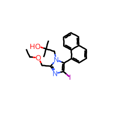 CCOCc1nc(I)c(-c2cccc3ccccc23)n1CC(C)(C)O